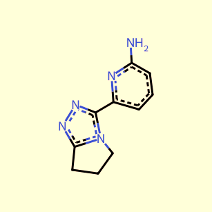 Nc1cccc(-c2nnc3n2CCC3)n1